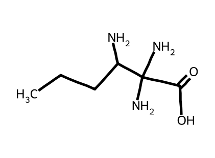 CCCC(N)C(N)(N)C(=O)O